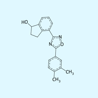 Cc1ccc(-c2nc(-c3cccc4c3CCC4O)no2)cc1C